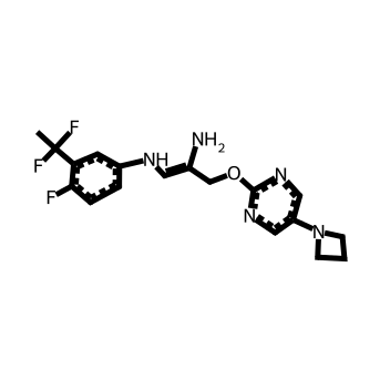 CC(F)(F)c1cc(N/C=C(\N)COc2ncc(N3CCC3)cn2)ccc1F